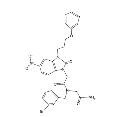 NC(=O)CN(Cc1cccc(Br)c1)C(=O)Cn1c(=O)n(CCCOc2ccccc2)c2cc([N+](=O)[O-])ccc21